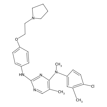 Cc1cc(N(C)c2nc(Nc3ccc(OCCN4CCCC4)cc3)ncc2C)ccc1Cl